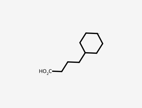 O=C(O)CCCC1CC[CH]CC1